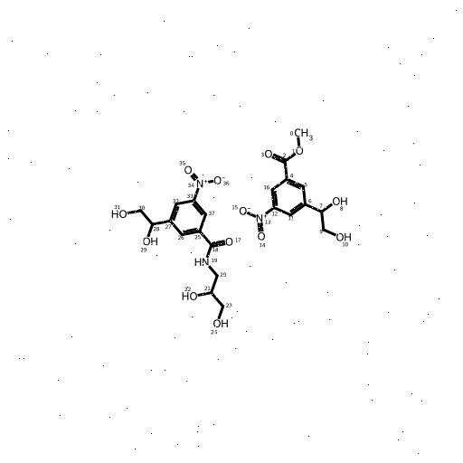 COC(=O)c1cc(C(O)CO)cc([N+](=O)[O-])c1.O=C(NCC(O)CO)c1cc(C(O)CO)cc([N+](=O)[O-])c1